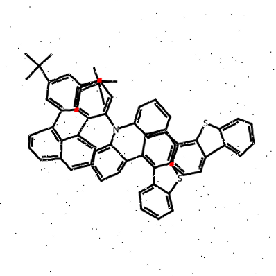 CC(C)(C)c1cc(-c2cccc3cccc(-c4ccccc4N(c4cccc(-c5cccc6c5sc5ccccc56)c4)c4ccccc4-c4cccc5sc6ccccc6c45)c23)cc(C(C)(C)C)c1